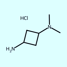 CN(C)C1CC(N)C1.Cl